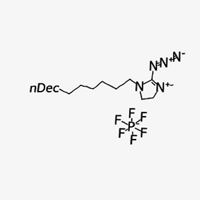 CCCCCCCCCCCCCCCCN1CC[N+](C)=C1N=[N+]=[N-].F[P-](F)(F)(F)(F)F